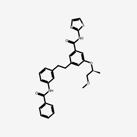 COC[C@H](C)Oc1cc(CCc2cccc(NC(=O)c3ccccc3)c2)cc(C(=O)Nc2nccs2)c1